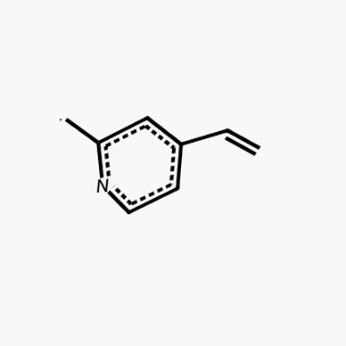 [CH2]c1cc(C=C)ccn1